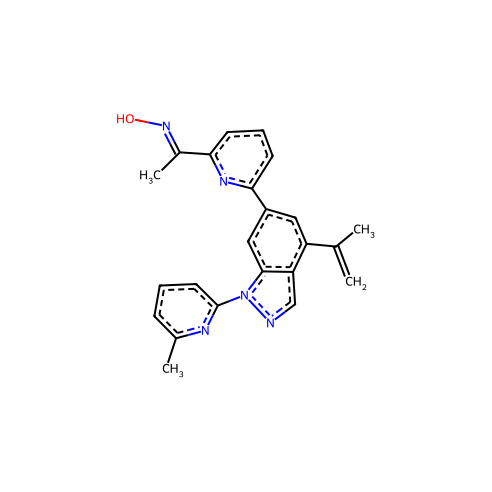 C=C(C)c1cc(-c2cccc(/C(C)=N/O)n2)cc2c1cnn2-c1cccc(C)n1